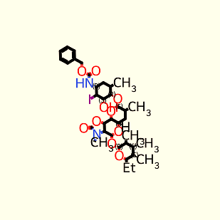 CCC1O[C@H](OC2O[C@H]3CC(C)[C@@H](O[C@@H]4C(C)C[C@@H](NC(=O)OCc5ccccc5)C(I)[C@H]4O)OC3C3OC(=O)N(C)C23)C(C)[C@@H](C)[C@@H]1C